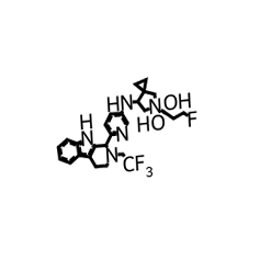 OC(O)(CCF)N1CC(Nc2ccc(C3c4[nH]c5ccccc5c4CCN3CC(F)(F)F)nc2)C2(CC2)C1